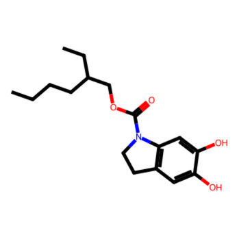 CCCCC(CC)COC(=O)N1CCc2cc(O)c(O)cc21